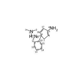 CN(C)C.NC1=CCC(N)(c2ccccc2)C=C1